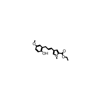 CCOC(=O)c1cc(C=CCc2cc(OC)ccc2O)cn1C